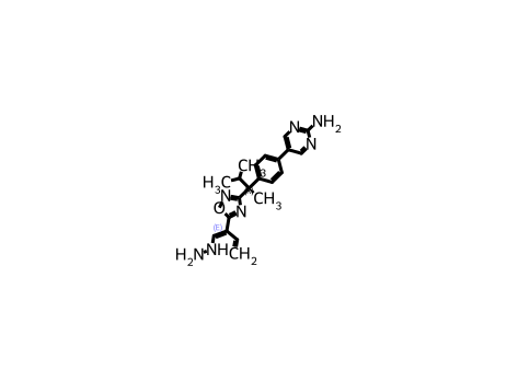 C=C/C(=C\NN)c1nc([C@@](C)(c2ccc(-c3cnc(N)nc3)cc2)C(C)C)no1